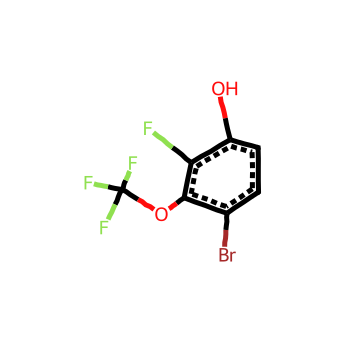 Oc1ccc(Br)c(OC(F)(F)F)c1F